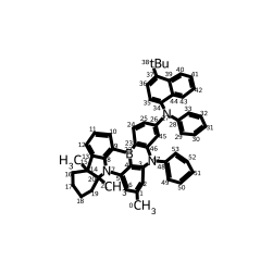 Cc1cc2c3c(c1)N1c4c(cccc4C4(C)CCCCC14C)B3c1ccc(N(c3ccccc3)c3ccc(C(C)(C)C)c4ccccc34)cc1N2c1ccccc1